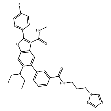 CCN(CC)c1cc2oc(-c3ccc(F)cc3)c(C(=O)NC)c2cc1-c1cccc(C(=O)NCCCn2cncn2)c1